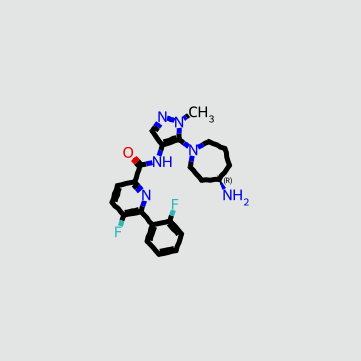 Cn1ncc(NC(=O)c2ccc(F)c(-c3ccccc3F)n2)c1N1CCC[C@@H](N)CC1